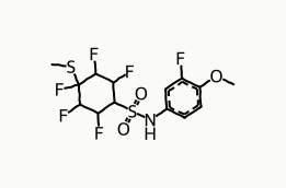 COc1ccc(NS(=O)(=O)C2C(F)C(F)C(F)(SC)C(F)C2F)cc1F